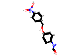 O=CNc1ccc(OCc2ccc([N+](=O)[O-])cc2)cc1